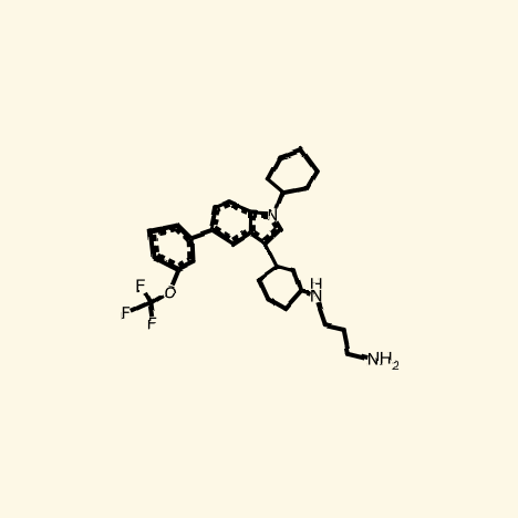 NCCCNC1CCCC(c2cn(C3CCCCC3)c3ccc(-c4cccc(OC(F)(F)F)c4)cc23)C1